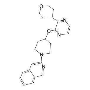 c1ccc2cc(N3CCC(Oc4nccnc4C4CCOCC4)CC3)ncc2c1